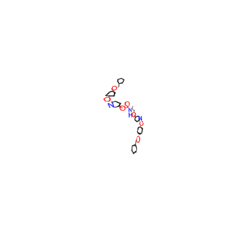 C[C@@H](COc1ccc(Oc2ccc(OCc3ccccc3)cc2)nc1)NC(=O)Oc1ccc(Oc2ccc(OCc3ccccc3)cc2)nc1